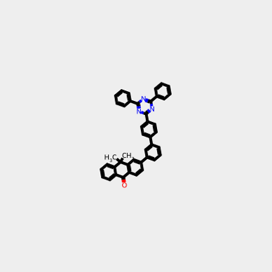 CC1(C)c2ccccc2C(=O)c2ccc(-c3cccc(-c4ccc(-c5nc(-c6ccccc6)nc(-c6ccccc6)n5)cc4)c3)cc21